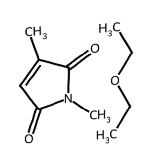 CC1=CC(=O)N(C)C1=O.CCOCC